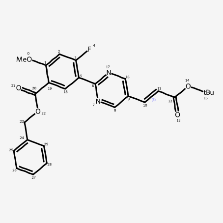 COc1cc(F)c(-c2ncc(/C=C/C(=O)OC(C)(C)C)cn2)cc1C(=O)OCc1ccccc1